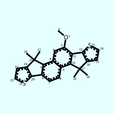 COc1cc2c3c(ccc2c2c1-c1sccc1C2(C)C)-c1sccc1C3(C)C